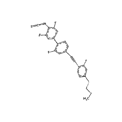 CCCCc1ccc(C#Cc2ccc(-c3cc(F)c(N=C=S)c(F)c3)c(F)c2)c(F)c1